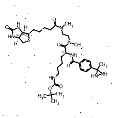 CN(CCN(C)C(=O)[C@H](CCCCNC(=O)OC(C)(C)C)NC(=O)c1ccc(C2(C)NN2)cc1)C(=O)CCCC[C@H]1SC[C@H]2NC(=O)N[C@H]21